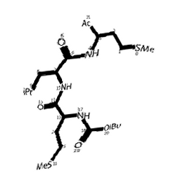 CSCCC(NC(=O)C(CC(C)C)NC(=O)C(CCSC)NC(=O)OCC(C)C)C(C)=O